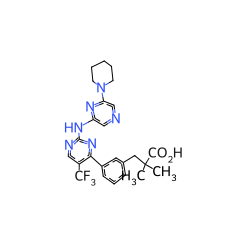 CC(C)(Cc1cccc(-c2nc(Nc3cncc(N4CCCCC4)n3)ncc2C(F)(F)F)c1)C(=O)O